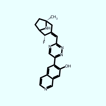 C[C@@]12CCC(N1)[C@@H](F)/C(=C\c1ncc(-c3cc4ccncc4cc3O)nn1)C2